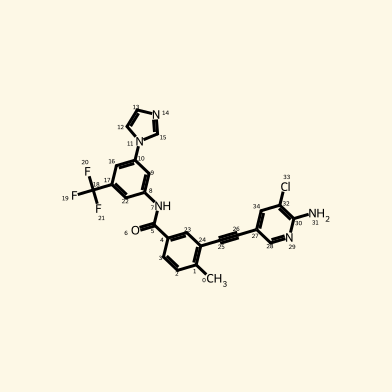 Cc1ccc(C(=O)Nc2cc(-n3ccnc3)cc(C(F)(F)F)c2)cc1C#Cc1cnc(N)c(Cl)c1